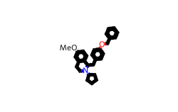 COc1ccc2c(c1)CCN(C1CCCC1)C2Cc1ccc(OCc2ccccc2)cc1